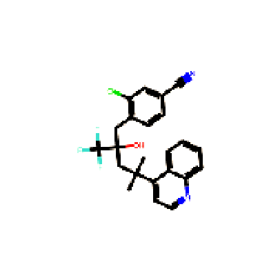 CC(C)(CC(O)(Cc1ccc(C#N)cc1Cl)C(F)(F)F)c1ccnc2ccccc12